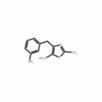 Bc1cccc(Cc2nc(C)sc2C(=O)O)c1